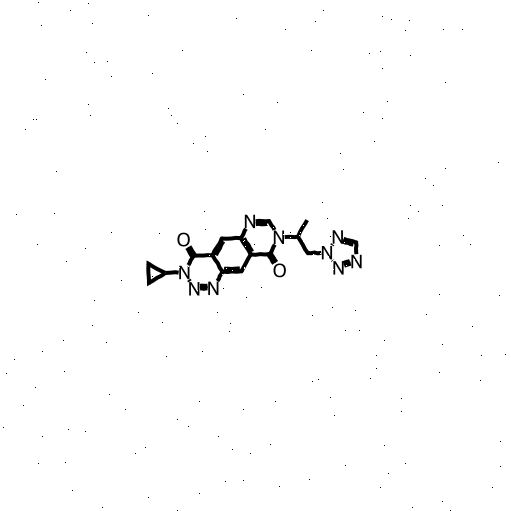 CC(Cn1ncnn1)n1cnc2cc3c(=O)n(C4CC4)nnc3cc2c1=O